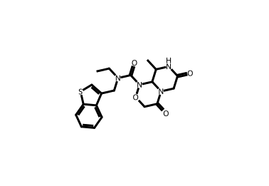 CCN(Cc1csc2ccccc12)C(=O)N1OCC(=O)N2CC(=O)NC(C)C21